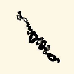 C=CC(=O)OCCCCCCOc1ccc(C(=O)Oc2ccc(C(=O)Oc3ccc(CC)cc3)cc2)cc1